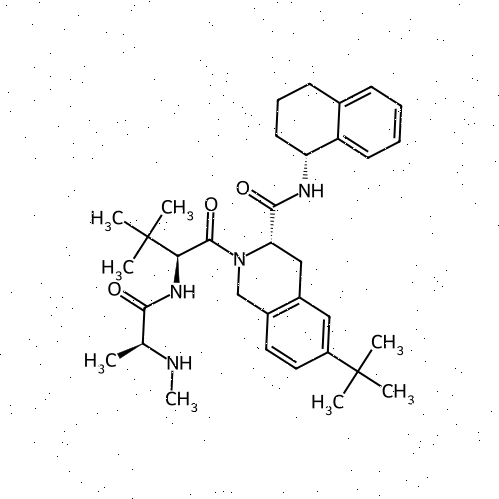 CN[C@@H](C)C(=O)N[C@H](C(=O)N1Cc2ccc(C(C)(C)C)cc2C[C@H]1C(=O)N[C@@H]1CCCc2ccccc21)C(C)(C)C